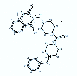 O=c1[nH]c2ccccc2c(=O)n1C[C@H]1CC[C@H](C(=O)N2CCN(Cc3ccccc3)CC2)CC1